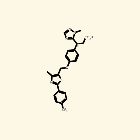 Cc1nc(-c2ccc(C(F)(F)F)cc2)sc1COc1ccc([C@H](CC(=O)O)c2ncnn2C)cc1